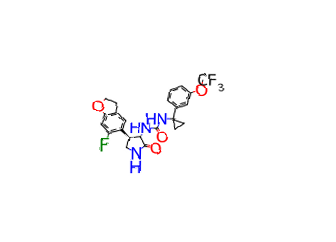 O=C(N[C@@H]1C(=O)NC[C@H]1c1cc2c(cc1F)OCC2)NC1(c2cccc(OC(F)(F)F)c2)CC1